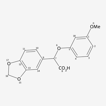 COc1cccc(OC(C(=O)O)c2ccc3c(c2)OCO3)c1